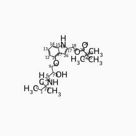 CCC(C)(C)NCC(O)COc1cccc2[nH]c(COC(=O)C(C)(C)C)cc12